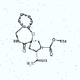 CC(C)(C)OC(=O)N1C[C@@]2(C[C@H]1C(N)=O)Oc1ccccc1CNC2=O